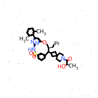 Cc1cccc(C)c1-c1cc2nc(n1)NS(=O)(=O)c1cccc(c1)C(C1CC3(CCN(C(=O)[C@@H](C)O)CC3)C1)[C@H](CC(C)C)CO2